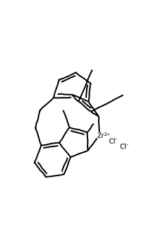 CC1=C(C)[CH]2[Zr+2][CH]3C(C)=C(C)c4c(cccc43)CCc3cccc2c31.[Cl-].[Cl-]